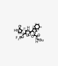 CC(C)(C)NC(=O)C(=O)N1CC2(CCCCC2)CC1C(=O)N[C@@H](C[C@@H]1CCNC1=O)C(=O)COC(F)(F)F